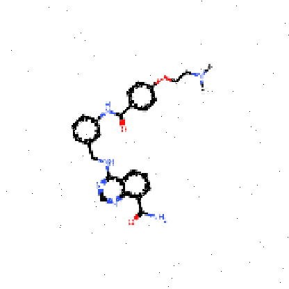 CCN(CC)CCOc1ccc(C(=O)Nc2cccc(CNc3ncnc4c(C(N)=O)cccc34)c2)cc1